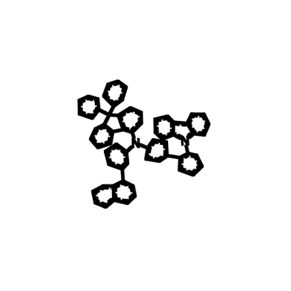 c1ccc(C2(c3ccccc3)c3ccccc3-c3c(N(c4ccc(-c5ccccc5-n5c6ccccc6c6ccccc65)cc4)c4cccc(-c5cccc6ccccc56)c4)cccc32)cc1